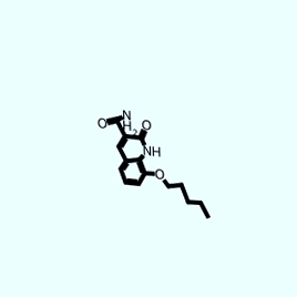 CCCCCOc1cccc2cc(C(N)=O)c(=O)[nH]c12